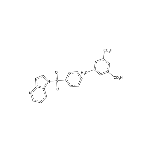 Cc1cc(C(=O)O)cc(C(=O)O)c1.O=S(=O)(c1ccccc1)n1ccc2ncccc21